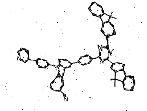 CC1(C)c2ccccc2-c2cc(-c3nc(-c4ccc(-c5ccc6c(c5)c5cc(C#N)ccc5n6-c5ccc(-c6cccnc6)cc5)cc4)nc(-c4ccc5c(c4)C(C)(C)c4ccccc4-5)n3)ccc21